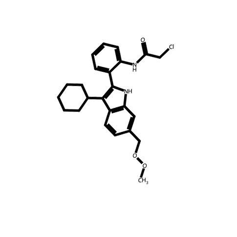 COOCc1ccc2c(C3CCCCC3)c(-c3ccccc3NC(=O)CCl)[nH]c2c1